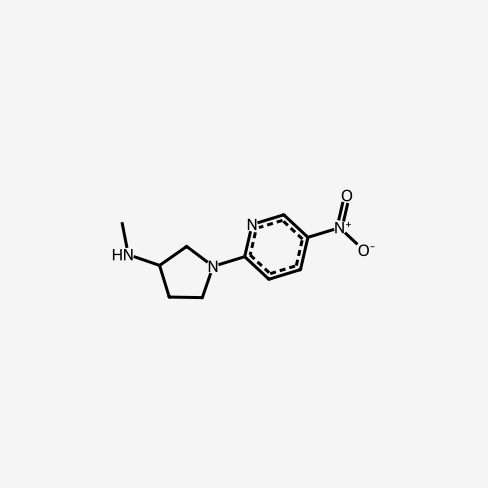 CNC1CCN(c2ccc([N+](=O)[O-])cn2)C1